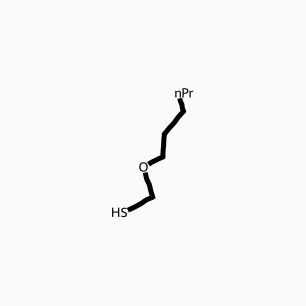 CCCCCCOCS